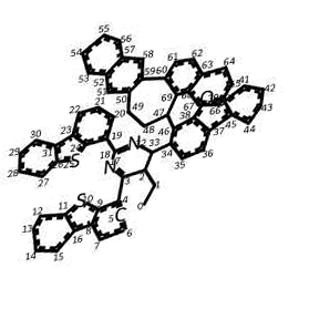 CCC1C(c2cccc3c2sc2ccccc23)=NC(c2cccc3c2sc2ccccc23)=NC1c1ccc2c(oc3ccccc32)c1C1CCc2cc3ccccc3cc2-c2ccc3ccccc3c21